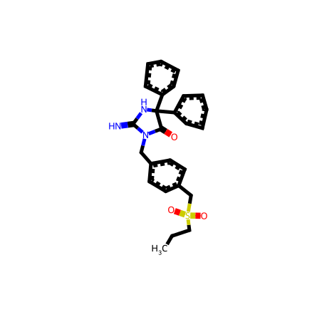 CCCS(=O)(=O)Cc1ccc(CN2C(=N)NC(c3ccccc3)(c3ccccc3)C2=O)cc1